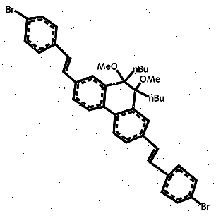 CCCCC1(OC)c2cc(C=Cc3ccc(Br)cc3)ccc2-c2ccc(C=Cc3ccc(Br)cc3)cc2C1(CCCC)OC